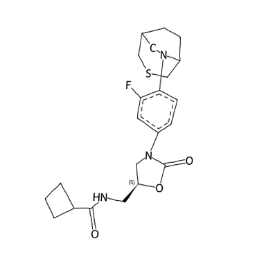 O=C(NC[C@H]1CN(c2ccc(N3CC4CCC3CSC4)c(F)c2)C(=O)O1)C1CCC1